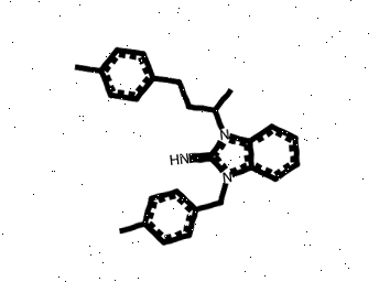 Cc1ccc(CCC(C)n2c(=N)n(Cc3ccc(C)cc3)c3ccccc32)cc1